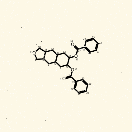 O=C(OC1CC2CC3COCC3CC2CC1OC(=O)c1ccccc1)c1ccccc1